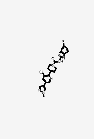 Cn1cc(-c2cnc(C3=CCN(C(=O)Nc4nc5ccc(F)cc5s4)CC3)c(Cl)c2)cn1